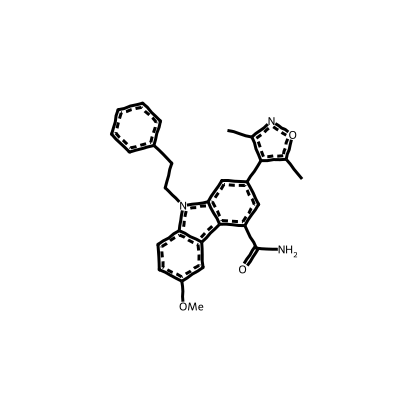 COc1ccc2c(c1)c1c(C(N)=O)cc(-c3c(C)noc3C)cc1n2CCc1ccccc1